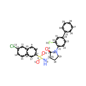 O=C1[C@@H](NS(=O)(=O)c2ccc3cc(Cl)ccc3c2)CCN1c1ccc(-c2ccccc2)cc1F